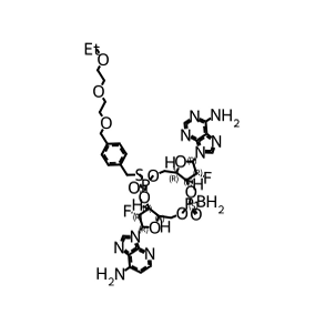 B[P@]1(=O)OC[C@H]2O[C@@H](n3cnc4c(N)ccnc43)[C@H](F)[C@@H]2O[P@@](=O)(SCc2ccc(COCCOCCOCC)cc2)OC[C@H]2O[C@@H](n3cnc4c(N)ncnc43)[C@H](F)[C@@H]2O1